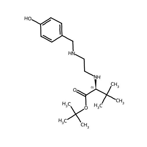 CC(C)(C)OC(=O)[C@@H](NCCNCc1ccc(O)cc1)C(C)(C)C